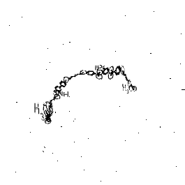 CC(C)c1cc(OC(=O)c2ccc(OCCCCOCC3(C)COC3)cc2)ccc1OC(=O)c1ccc(OCCCCCOc2ccc(-c3ccc4c(c3)NC(OCCCCOCC3(C)COC3)S4)cc2)cc1